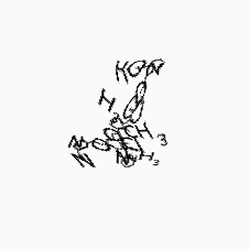 Cc1c(COc2cc(OCc3cncc(C#N)c3)c(CN3CCCC[C@H]3C)cc2Cl)cccc1-c1cccc(OCCCN2CCCCC2CO)c1C